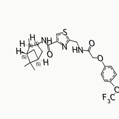 C[C@H]1[C@@H](NC(=O)c2csc(CNC(=O)COc3ccc(OC(F)(F)F)cc3)n2)C[C@@H]2C[C@@H]1C2(C)C